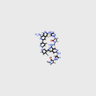 Cc1ccncc1-c1cc2cc(Nc3cnn([C@@H]4CCN(CNc5nc(-c6cnccc6C)cc6cc(Nc7cnn([C@H]8CCN(C)C8=O)c7)ncc56)C4=O)c3)ncc2c(N)n1